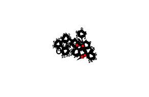 c1ccc(N(c2ccc3c(c2)C2(c4ccccc4S3)c3ccccc3-c3cccc4cccc2c34)c2ccc3c(c2)c2ccccc2n3-c2cccc3oc4ccccc4c23)cc1